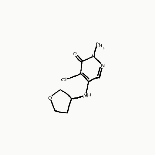 Cn1ncc(NC2CCOC2)c(Cl)c1=O